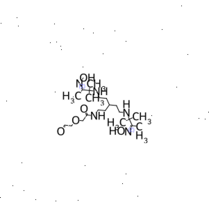 C/C(=N/O)C(C)(C)NCCC(CCNC(=O)COCC=O)CCNC(C)(C)/C(C)=N\O